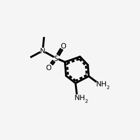 CN(C)S(=O)(=O)c1ccc(N)c(N)c1